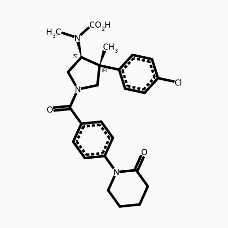 CN(C(=O)O)[C@@H]1CN(C(=O)c2ccc(N3CCCCC3=O)cc2)C[C@@]1(C)c1ccc(Cl)cc1